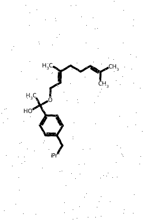 CC(C)=CCC/C(C)=C/COC(C)(O)c1ccc(CC(C)C)cc1